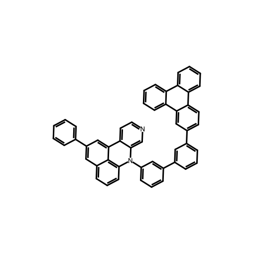 c1ccc(-c2cc3c4c(cccc4c2)N(c2cccc(-c4cccc(-c5ccc6c7ccccc7c7ccccc7c6c5)c4)c2)c2cnccc2-3)cc1